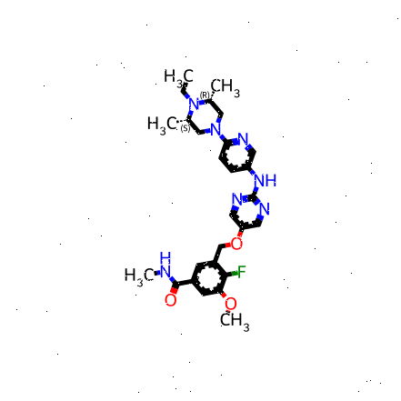 CCN1[C@H](C)CN(c2ccc(Nc3ncc(OCc4cc(C(=O)NC)cc(OC)c4F)cn3)cn2)C[C@@H]1C